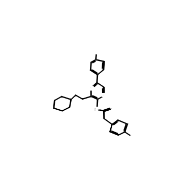 O=C(Cc1ccc(Cl)cc1)Nc1ncc(-c2ccc(F)cc2)nc1CCC1CCCCC1